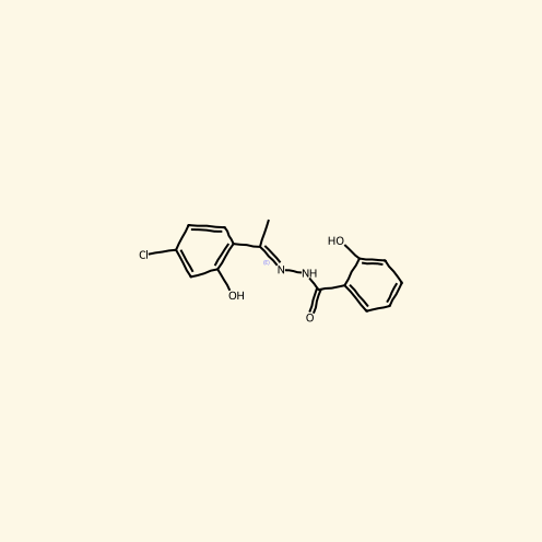 C/C(=N\NC(=O)c1ccccc1O)c1ccc(Cl)cc1O